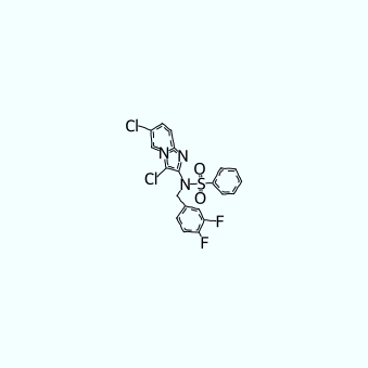 O=S(=O)(c1ccccc1)N(Cc1ccc(F)c(F)c1)c1nc2ccc(Cl)cn2c1Cl